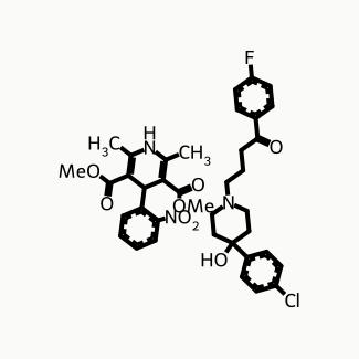 COC(=O)C1=C(C)NC(C)=C(C(=O)OC)C1c1ccccc1[N+](=O)[O-].O=C(CCCN1CCC(O)(c2ccc(Cl)cc2)CC1)c1ccc(F)cc1